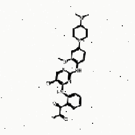 COc1cc(N2CCC(N(C)C)CC2)ccc1Nc1ncc(Cl)c(Nc2ccccc2C(=O)C(C)=O)n1